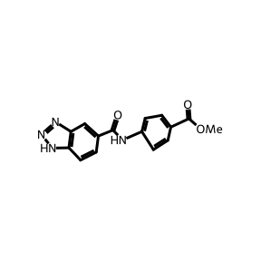 COC(=O)c1ccc(NC(=O)c2ccc3[nH]nnc3c2)cc1